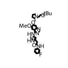 COc1cc2c(Nc3cc(CC(=O)Nc4cccc(F)c4)[nH]n3)ncnc2cc1OC[C@H]1CCCN1CCOC(C)(C)C